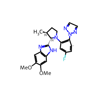 COc1cc2nc([C@@H]3[C@@H](C)CCN3c3cc(F)c[c]c3-n3nccn3)[nH]c2cc1OC